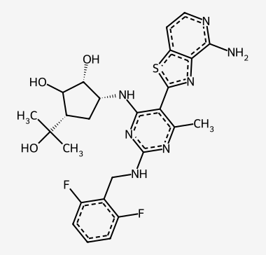 Cc1nc(NCc2c(F)cccc2F)nc(N[C@@H]2C[C@H](C(C)(C)O)C(O)[C@@H]2O)c1-c1nc2c(N)nccc2s1